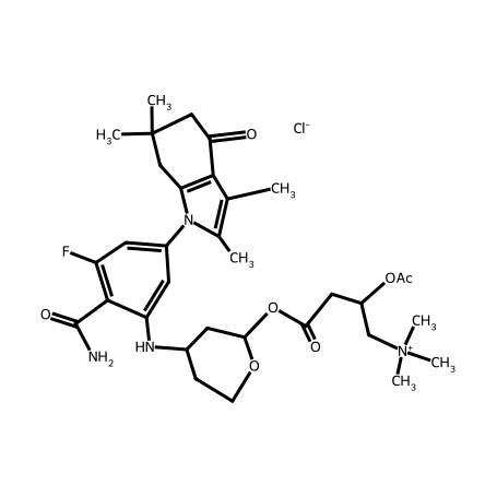 CC(=O)OC(CC(=O)OC1CC(Nc2cc(-n3c(C)c(C)c4c3CC(C)(C)CC4=O)cc(F)c2C(N)=O)CCO1)C[N+](C)(C)C.[Cl-]